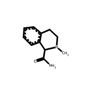 CN1CCc2cc[c]cc2C1C(N)=O